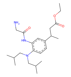 CCOC(=O)CC(C)c1ccc(N(CC(C)C)CC(C)C)c(NC(=O)CN)c1